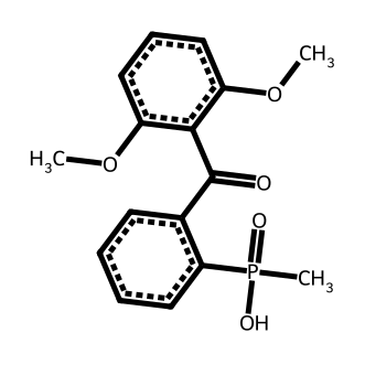 COc1cccc(OC)c1C(=O)c1ccccc1P(C)(=O)O